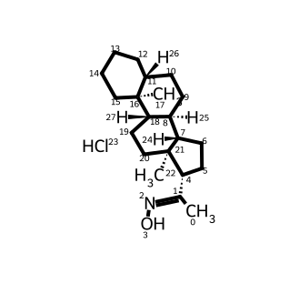 CC(=NO)[C@H]1CC[C@H]2[C@@H]3CC[C@H]4CCCC[C@]4(C)[C@H]3CC[C@]12C.Cl